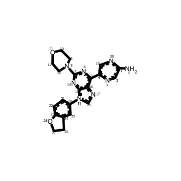 Nc1cnc(-c2nc(N3CCOCC3)nc3c2ncn3-c2ccc3c(c2)CCO3)cn1